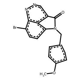 COc1ccc(CN2C(=O)c3cnnc4c(Br)ccc2c34)cc1